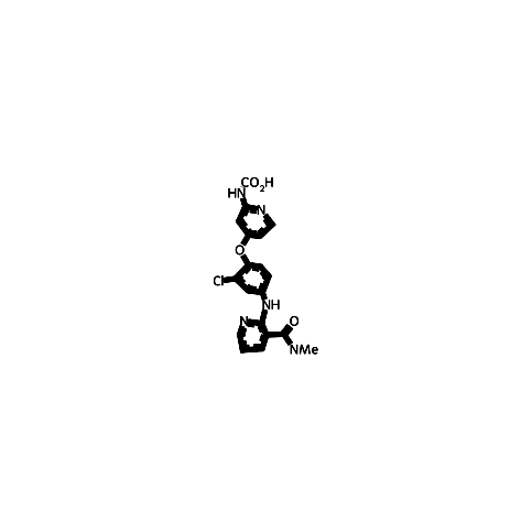 CNC(=O)c1cccnc1Nc1ccc(Oc2ccnc(NC(=O)O)c2)c(Cl)c1